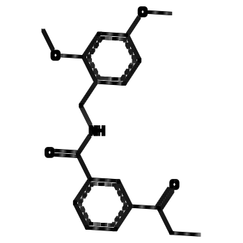 CCC(=O)c1cccc(C(=O)NCc2ccc(OC)cc2OC)c1